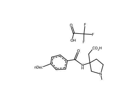 CCCCCCCCCCc1ccc(C(=O)NC2(CC(=O)O)CCN(C)C2)cc1.O=C(O)C(F)(F)F